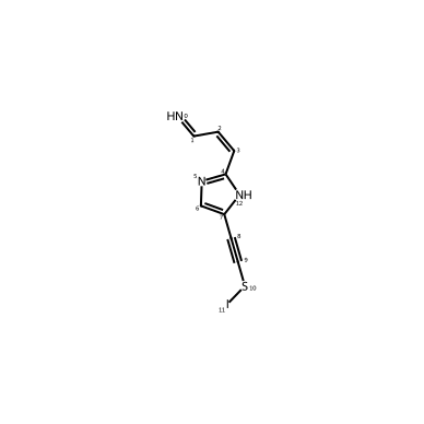 N=C/C=C\c1ncc(C#CSI)[nH]1